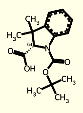 CC(C)(C)OC(=O)N1c2ccccc2C(C)(C)[C@H]1C(=O)O